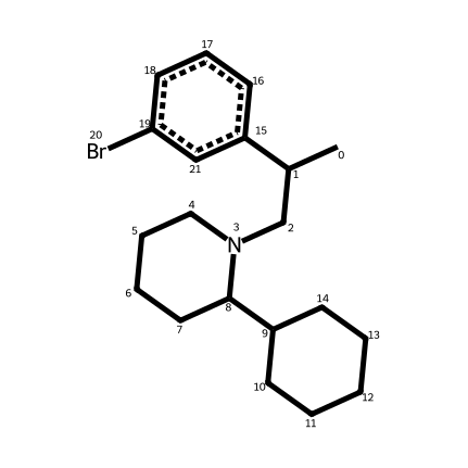 CC(CN1CCCCC1C1CCCCC1)c1cccc(Br)c1